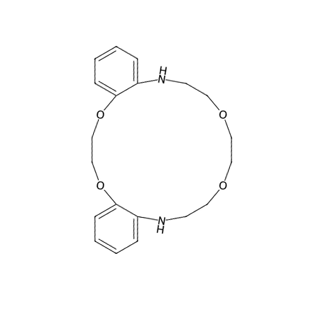 c1ccc2c(c1)NCCOCCOCCNc1ccccc1OCCO2